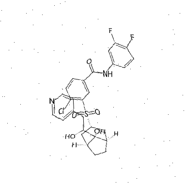 O=C(Nc1ccc(F)c(F)c1)c1ccc(Cl)c(S(=O)(=O)[C@@H]2C[C@H]3CC[C@@H](C2)[C@@]3(O)C(O)Cc2ccncc2)c1